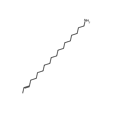 CC=CCCCCCCCCCCCCCCCCN